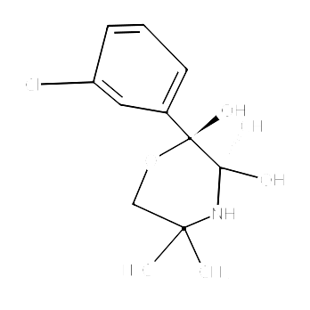 CC1(C)CO[C@](O)(c2cccc(Cl)c2)[C@@](C)(O)N1